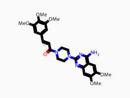 COc1cc2nc(N3CCN(C(=O)/C=C/c4cc(OC)c(OC)c(OC)c4)CC3)nc(N)c2cc1OC